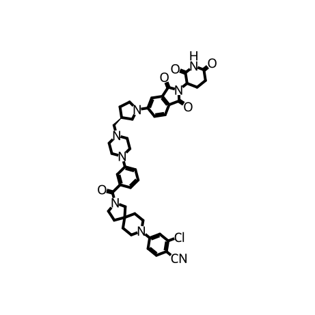 N#Cc1ccc(N2CCC3(CCN(C(=O)c4cccc(N5CCN(C[C@H]6CCN(c7ccc8c(c7)C(=O)N(C7CCC(=O)NC7=O)C8=O)C6)CC5)c4)C3)CC2)cc1Cl